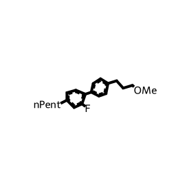 CCCCCc1ccc(-c2ccc(CCCOC)cc2)c(F)c1